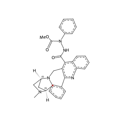 COC(=O)N(NC(=O)c1c(CN2C[C@@H]3C[C@H]2CN3C)c(-c2ccccc2)nc2ccccc12)c1ccccc1